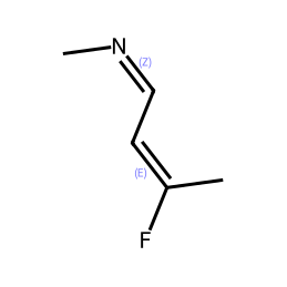 C/N=C\C=C(/C)F